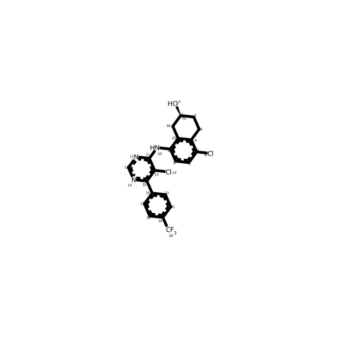 O[C@H]1CCc2c(Cl)ccc(Nc3ncnc(-c4ccc(C(F)(F)F)cc4)c3Cl)c2C1